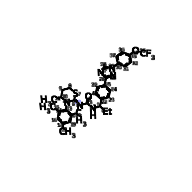 CCC(NC(=O)/N=C1\SCCC(C)N1c1c(C)cc(C)cc1C)c1ccc(-c2ncn(-c3ccc(OC(F)(F)F)cc3)n2)cc1